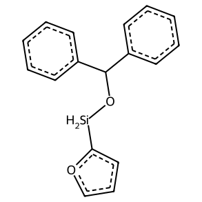 c1ccc(C(O[SiH2]c2ccco2)c2ccccc2)cc1